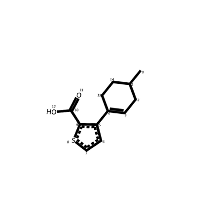 CC1CC=C(c2ccsc2C(=O)O)CC1